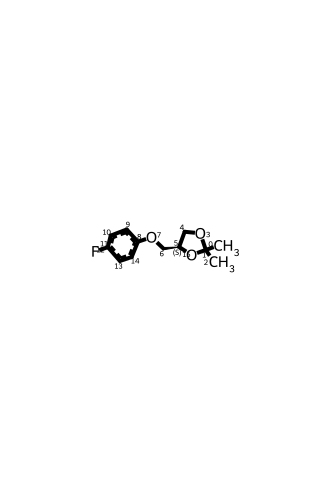 CC1(C)OC[C@H](COc2ccc(F)cc2)O1